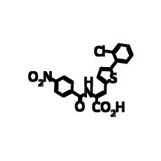 O=C(O)/C(=C/c1ccc(-c2ccccc2Cl)s1)NC(=O)c1ccc([N+](=O)[O-])cc1